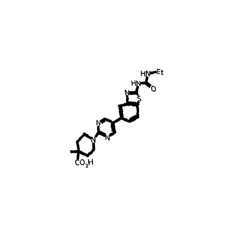 CCNC(=O)Nc1nc2cc(-c3cnc(N4CCC(C)(C(=O)O)CC4)nc3)ccc2s1